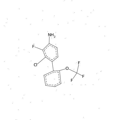 Nc1ccc(-c2ccccc2OC(F)(F)F)c(Cl)c1F